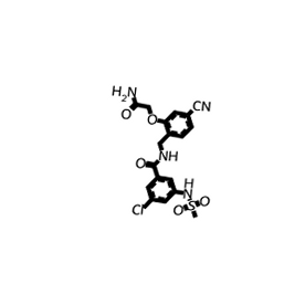 CS(=O)(=O)Nc1cc(Cl)cc(C(=O)NCc2ccc(C#N)cc2OCC(N)=O)c1